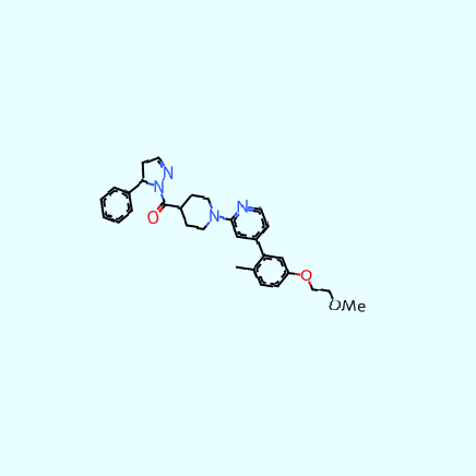 COCCOc1ccc(C)c(-c2ccnc(N3CCC(C(=O)N4N=CCC4c4ccccc4)CC3)c2)c1